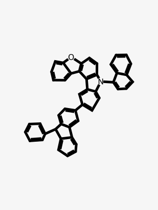 c1ccc(C2c3ccccc3-c3cc(-c4ccc5c(c4)c4c6c(ccc4n5-c4cccc5ccccc45)oc4ccccc46)ccc32)cc1